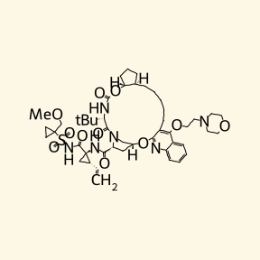 C=C[C@@H]1C[C@]1(NC(=O)[C@@H]1C[C@@H]2CN1C(=O)[C@H](C(C)(C)C)NC(=O)O[C@@H]1CCC[C@H]1CCCCCc1c(nc3ccccc3c1OCCN1CCOCC1)O2)C(=O)NS(=O)(=O)C1(COC)CC1